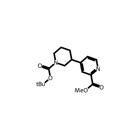 COC(=O)c1cc(C2CCCN(C(=O)OC(C)(C)C)C2)ccn1